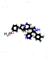 COc1cccc([C@@H]2C[C@H]3C=C(c4c[nH]c(-c5ccc(F)c(F)c5)c4-c4ccncc4)CCN3C2)c1